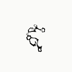 O=C(N1CCCC1)N1CCC(Oc2ccc3c(c2)CCN(C2CCC2)CC3)CC1